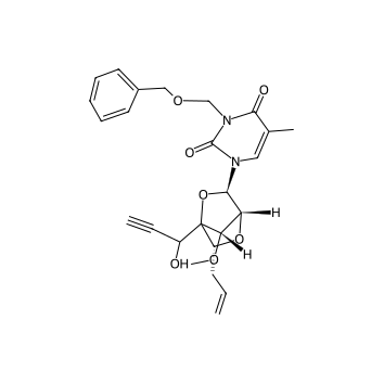 C#CC(O)C12O[C@@H](n3cc(C)c(=O)n(COCc4ccccc4)c3=O)[C@H](O[C@@H]1CC=C)[C@@H]2OC